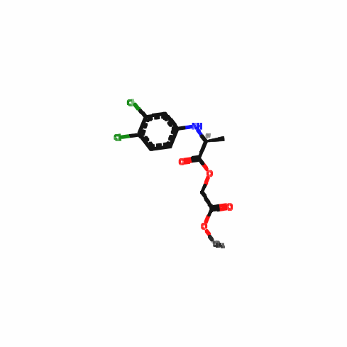 C[C@H](Nc1ccc(Cl)c(Cl)c1)C(=O)OCC(=O)OC(C)(C)C